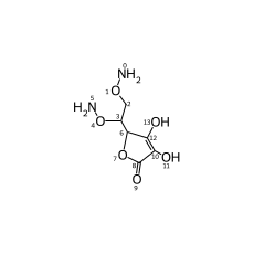 NOCC(ON)C1OC(=O)C(O)=C1O